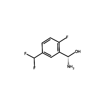 N[C@@H](O)c1cc(C(F)F)ccc1F